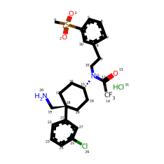 CS(=O)(=O)c1cccc(CCN(C(=O)C(F)(F)F)[C@H]2CC[C@@](CN)(c3cccc(Cl)c3)CC2)c1.Cl